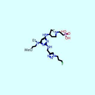 CCN(CCOC)c1cc(NC2CCN(CCP(=O)(O)O)CC2)nc(NCc2cn(CCCF)nn2)n1